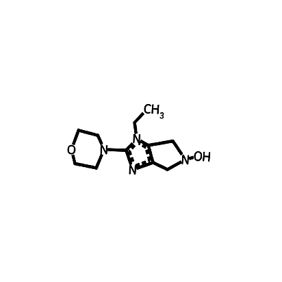 CCn1c(N2CCOCC2)nc2c1CN(O)C2